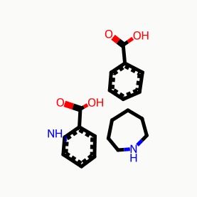 C1CCCNCC1.N.O=C(O)c1ccccc1.O=C(O)c1ccccc1